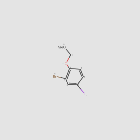 COCOc1ccc(I)cc1Br